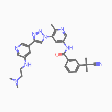 Cc1ncc(NC(=O)c2cccc(C(C)(C)C#N)c2)cc1-n1cc(-c2cncc(NCCN(C)C)c2)nn1